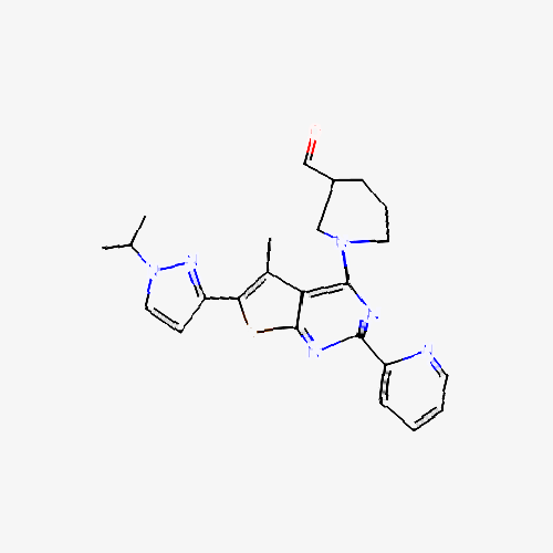 Cc1c(-c2ccn(C(C)C)n2)sc2nc(-c3ccccn3)nc(N3CCCC(C=O)C3)c12